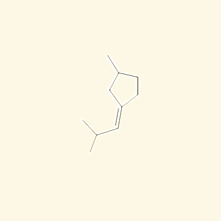 CC(C)C=C1CCC(C)C1